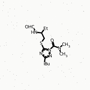 CCC(CSc1nc(C(C)CC)nn1C(=O)N(C)C)NC=O